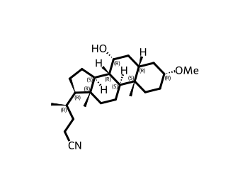 CO[C@@H]1CC[C@@]2(C)[C@@H](C1)C[C@@H](O)[C@@H]1[C@@H]2CC[C@]2(C)[C@@H]([C@H](C)CCC#N)CC[C@@H]12